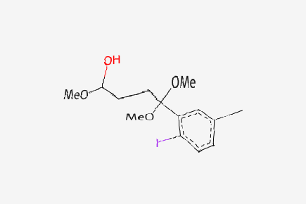 COC(O)CCC(OC)(OC)c1cc(C)ccc1I